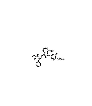 C=CS(=O)(=O)N(CCn1nc(-c2cnc(OC)c(F)c2)c2c(N)ncnc21)c1ccccc1